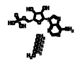 Nc1ncnc2c1ncn2[C@@H]1O[C@H](COP(=O)(O)O)[C@@H](O)[C@H]1O.O.O.O.O.O.O